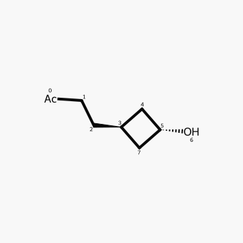 CC(=O)CC[C@H]1C[C@H](O)C1